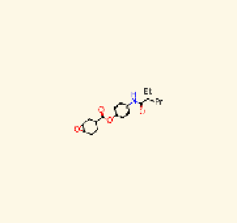 CC[C@@H](C(=O)Nc1ccc(OC(=O)C2CCC3OC3C2)cc1)C(C)C